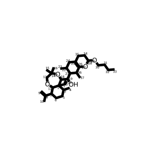 C=CC12C(C)CCC(C(=C)C)C1OCC(C)(C)OC2C(O)C1C(C)CC2=C(OC(OCCCC)CC2)C1C